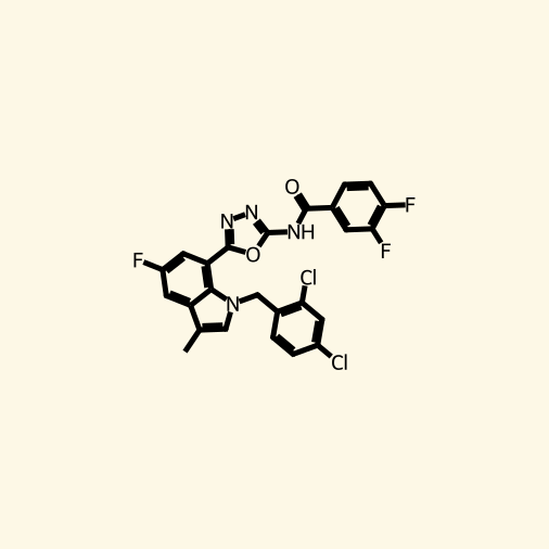 Cc1cn(Cc2ccc(Cl)cc2Cl)c2c(-c3nnc(NC(=O)c4ccc(F)c(F)c4)o3)cc(F)cc12